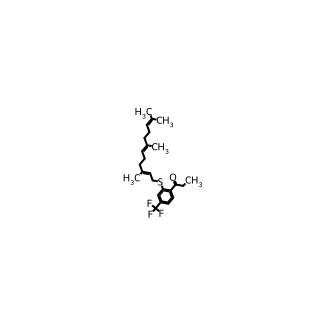 CCC(=O)c1ccc(C(F)(F)F)cc1SC/C=C(\C)CC/C=C(\C)CCC=C(C)C